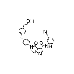 N#Cc1cccc(NC(=O)c2cnn3c2C(=O)N(c2ccc(Cc4ccc(CCO)cc4)cc2)CC3)c1